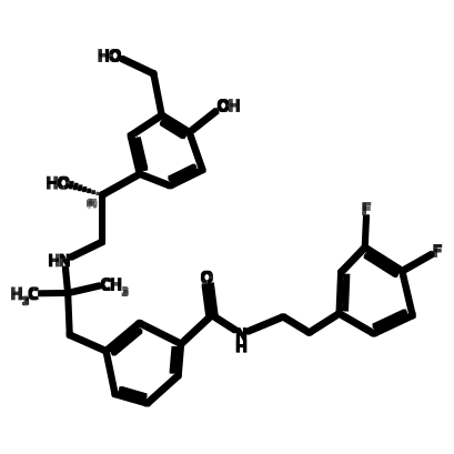 CC(C)(Cc1cccc(C(=O)NCCc2ccc(F)c(F)c2)c1)NC[C@H](O)c1ccc(O)c(CO)c1